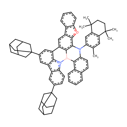 Cc1cc2c(cc1N1c3ccc4ccccc4c3B3c4c(cc5c(oc6ccccc65)c41)-c1cc(C45CC6CC(CC(C6)C4)C5)cc4c5cc(C67CC8CC(CC(C8)C6)C7)ccc5n3c14)C(C)(C)CCC2(C)C